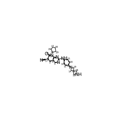 N#Cc1cc2cnc(Nc3ccc(N4CC5(CNC5)C4)cc3)nc2n(C2CCCC2)c1=O